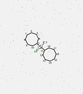 F[Si](F)(C1CCCCCCC1)C1CCCCCCC1